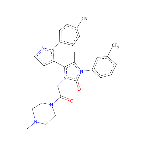 Cc1c(-c2ccnn2-c2ccc(C#N)cc2)n(CC(=O)N2CCN(C)CC2)c(=O)n1-c1cccc(C(F)(F)F)c1